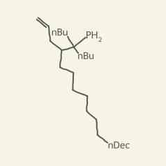 C=CCC(CCCCCCCCCCCCCCCCC)C(P)(CCCC)CCCC